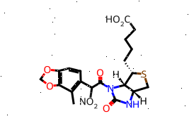 Cc1c(C(C(=O)N2C(=O)N[C@H]3CS[C@@H](CCCCC(=O)O)[C@H]32)[N+](=O)[O-])ccc2c1OCO2